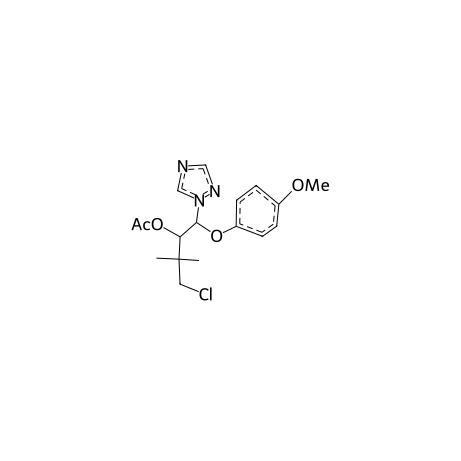 COc1ccc(OC(C(OC(C)=O)C(C)(C)CCl)n2cncn2)cc1